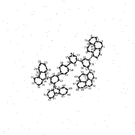 c1cc2ccc3ccc(-c4cc(-c5cncc(-c6ccc(-c7cc(-n8c9ccccc9c9ccccc98)cc(-n8c9ccccc9c9ccccc98)c7)cc6)c5)cc(-c5ccc6ccc7cccc8ccc5c6c78)c4)c4ccc(c1)c2c34